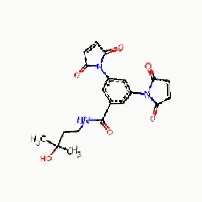 CC(C)(O)CCNC(=O)c1cc(N2C(=O)C=CC2=O)cc(N2C(=O)C=CC2=O)c1